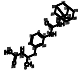 CC(Cc1cccc(NC(=O)NC23CC4CC(CC(C4)C2)C3)c1)NC(=O)O